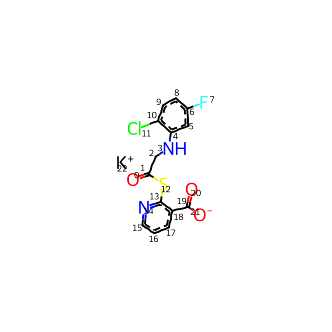 O=C(CNc1cc(F)ccc1Cl)Sc1ncccc1C(=O)[O-].[K+]